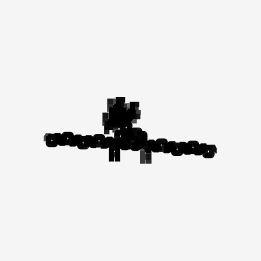 COCCOCCOCCOCCNC(=O)CN(CC(=O)NCCOCCOCCOCCOC)C(=O)COCC(CC(F)(F)F)(CC(F)(F)F)CC(F)(F)F